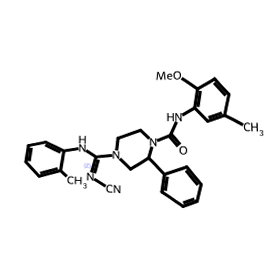 COc1ccc(C)cc1NC(=O)N1CCN(/C(=N\C#N)Nc2ccccc2C)CC1c1ccccc1